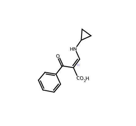 O=C(O)/C(=C/NC1CC1)C(=O)c1ccccc1